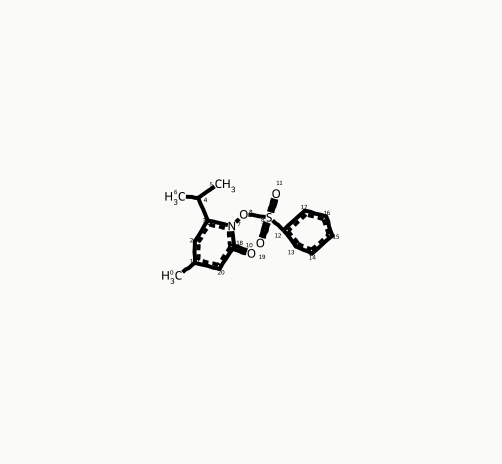 Cc1cc(C(C)C)n(OS(=O)(=O)c2ccccc2)c(=O)c1